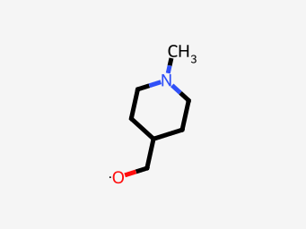 CN1CCC(C[O])CC1